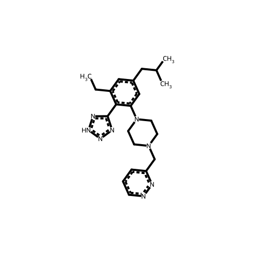 CCc1cc(CC(C)C)cc(N2CCN(Cc3cccnn3)CC2)c1-c1nn[nH]n1